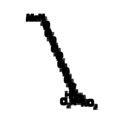 CNCCOCCOCCOCCOCCOCCOCCOCCOCCOCCNc1ccc([N+](=O)[O-])cc1[N+](=O)[O-]